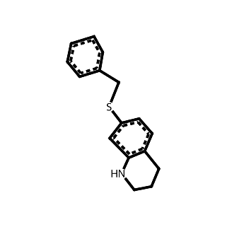 c1ccc(CSc2ccc3c(c2)NCCC3)cc1